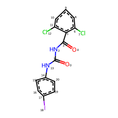 O=C(NC(=O)c1c(Cl)cccc1Cl)Nc1ccc(I)cc1